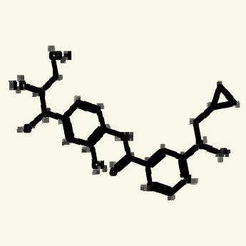 CCCN(CC1CC1)c1cc(C(=O)Nc2ccc([S+]([O-])N(C)CC(=O)O)cc2C)ncn1